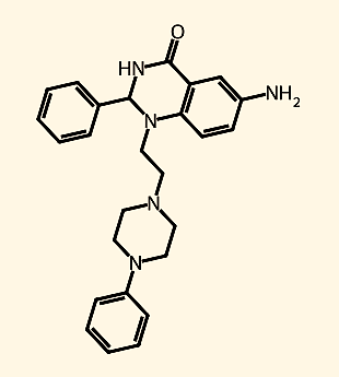 Nc1ccc2c(c1)C(=O)NC(c1ccccc1)N2CCN1CCN(c2ccccc2)CC1